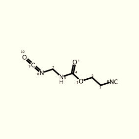 [C-]#[N+]CCOC(=O)NCN=C=O